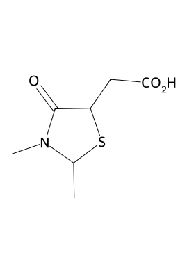 CC1SC(CC(=O)O)C(=O)N1C